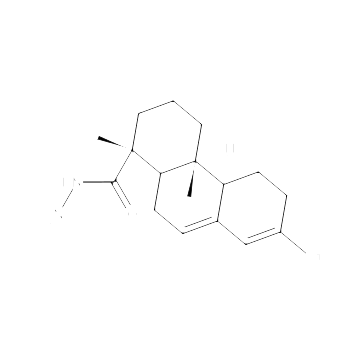 CC(C)C1=CC2=CCC3[C@](C)(C(=O)NN)CCC[C@]3(C)[C@H]2CC1